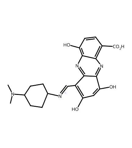 CN(C)C1CCC(/N=C/c2c(O)cc(O)c3nc4c(C(=O)O)ccc(O)c4nc23)CC1